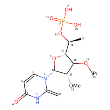 C=C1NC(=O)C=CN1[C@@H]1O[C@H]([C@H](C)OP(=O)(O)O)C(OC(C)C)[C@@H]1OC